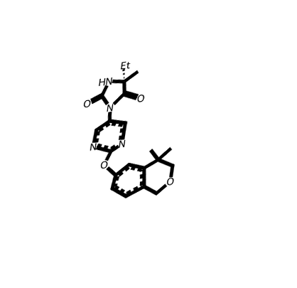 CC[C@@]1(C)NC(=O)N(c2cnc(Oc3ccc4c(c3)C(C)(C)COC4)nc2)C1=O